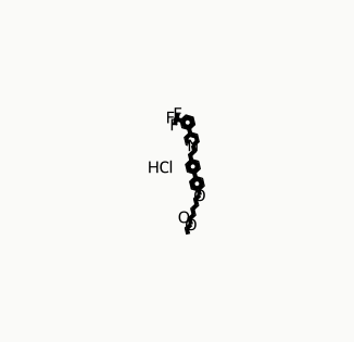 CCOC(=O)CCCCOc1ccc(-c2ccc(CCN3CC=C(c4cccc(C(F)(F)F)c4)CC3)cc2)cc1.Cl